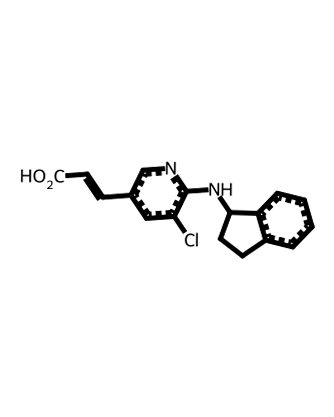 O=C(O)/C=C/c1cnc(NC2CCc3ccccc32)c(Cl)c1